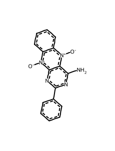 Nc1nc(-c2ccccc2)nc2c1[n+]([O-])c1ccccc1[n+]2[O-]